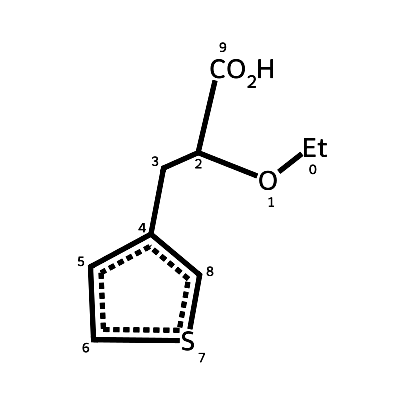 CCOC(Cc1ccsc1)C(=O)O